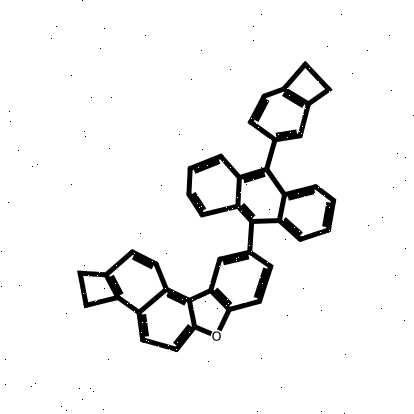 c1ccc2c(-c3ccc4oc5ccc6c7c(ccc6c5c4c3)CC7)c3ccccc3c(-c3ccc4c(c3)CC4)c2c1